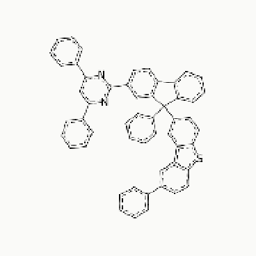 c1ccc(-c2ccc3sc4ccc(C5(c6ccccc6)c6ccccc6-c6ccc(-c7nc(-c8ccccc8)cc(-c8ccccc8)n7)cc65)cc4c3c2)cc1